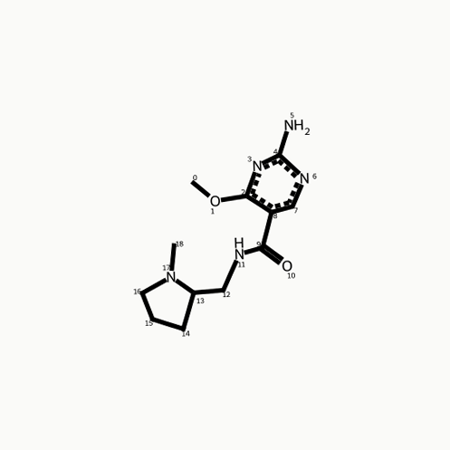 COc1nc(N)ncc1C(=O)NCC1CCCN1C